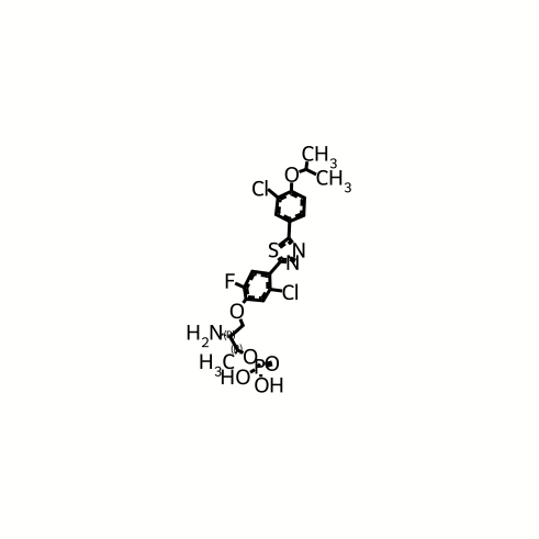 CC(C)Oc1ccc(-c2nnc(-c3cc(F)c(OC[C@@H](N)[C@@H](C)OP(=O)(O)O)cc3Cl)s2)cc1Cl